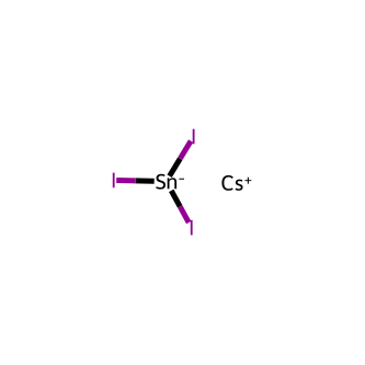 [Cs+].[I][Sn-]([I])[I]